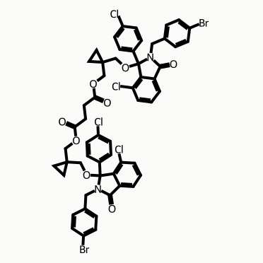 O=C(CCC(=O)OCC1(COC2(c3ccc(Cl)cc3)c3c(Cl)cccc3C(=O)N2Cc2ccc(Br)cc2)CC1)OCC1(COC2(c3ccc(Cl)cc3)c3c(Cl)cccc3C(=O)N2Cc2ccc(Br)cc2)CC1